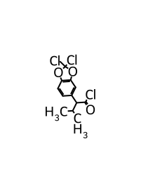 CC(C)C(C(=O)Cl)c1ccc2c(c1)OC(Cl)(Cl)O2